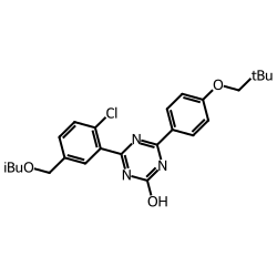 CC(C)COCc1ccc(Cl)c(-c2nc(O)nc(-c3ccc(OCC(C)(C)C)cc3)n2)c1